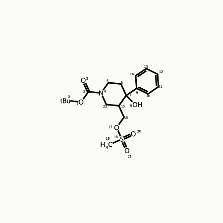 CC(C)(C)OC(=O)N1CCC(O)(c2ccccc2)C(COS(C)(=O)=O)C1